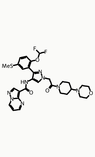 CSc1ccc(OC(F)F)c(-c2nn(CC(=O)N3CCC(N4CCOCC4)CC3)cc2NC(=O)c2cnn3cccnc23)c1